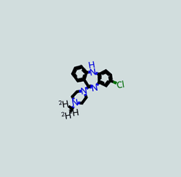 [2H]C([2H])([2H])N1CCN(C2=Nc3cc(Cl)ccc3Nc3ccccc32)CC1